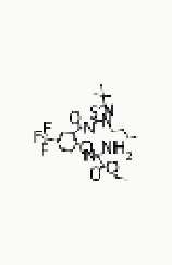 CCCCn1nc(C(C)(C)C)sc1=NC(=O)c1cc(C(F)(F)F)ccc1ON=C(N)C(=O)OCC